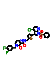 O=C(NCc1ccc(-c2cn(S(=O)(=O)c3ccccc3)c3nccc(Cl)c23)s1)c1cccn(Cc2ccc(F)c(F)c2)c1=O